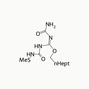 CCCCCCCCOC(=NC(N)=O)NC(=O)NSC